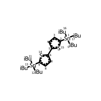 CC[CH](C)[Sn]([c]1ccc(-c2cc[c]([Sn]([CH](C)CC)([CH](C)CC)[CH](C)CC)s2)s1)([CH](C)CC)[CH](C)CC